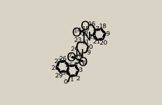 Cc1ccc(S(=O)(=O)N2CCC(N3C(=O)OCc4ccccc43)CC2)c2ccccc12